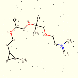 C=[N+](C)CCOCC(C)(CC)OCC(C)OCCC1CC1C